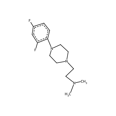 CN(C)CCN1CCN(c2ccc(F)cc2F)CC1